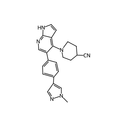 Cn1cc(-c2ccc(-c3cnc4[nH]ccc4c3N3CCC(C#N)CC3)cc2)cn1